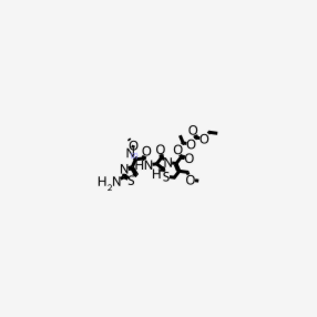 CCOC(=O)OC(C)OC(=O)C1=C(COC)CS[C@@H]2C(NC(=O)/C(=N\OC)c3csc(N)n3)C(=O)N12